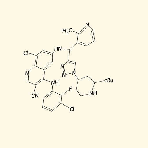 Cc1ncccc1C(Nc1cc(Cl)c2ncc(C#N)c(Nc3cccc(Cl)c3F)c2c1)c1cn(C2CCNC(C(C)(C)C)C2)nn1